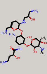 CN[C@@H]1[C@@H](O)[C@@H](O[C@@H]2[C@@H](O)[C@H](O[C@H]3OC(CN)=CC[C@H]3NCC(O)CN)[C@@H](N)C[C@H]2NC(=O)[C@@H](O)CCN)OC[C@]1(C)O